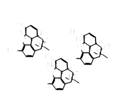 CN1CC[C@]23c4c5ccc(O)c4O[C@H]2[C@@H](O)C=C[C@H]3[C@H]1C5.CN1CC[C@]23c4c5ccc(O)c4O[C@H]2[C@@H](O)C=C[C@H]3[C@H]1C5.CN1CC[C@]23c4c5ccc(O)c4O[C@H]2[C@@H](O)C=C[C@H]3[C@H]1C5